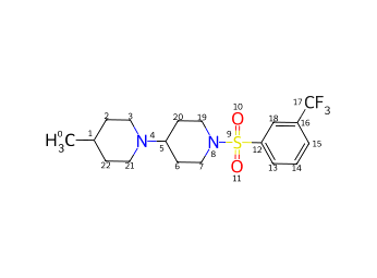 CC1CCN(C2CCN(S(=O)(=O)c3cccc(C(F)(F)F)c3)CC2)CC1